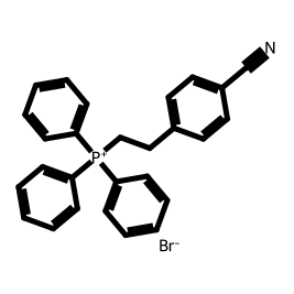 N#Cc1ccc(CC[P+](c2ccccc2)(c2ccccc2)c2ccccc2)cc1.[Br-]